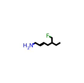 CCC(CF)CC=CCN